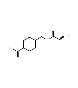 C=CC(=O)OCC1CCC(C(=O)O)CC1